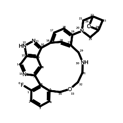 Fc1cccc2c1-c1cc3c(n[nH]c3cn1)-c1ccc(N3CC4CC(C3)O4)c(c1)CNCCOC2